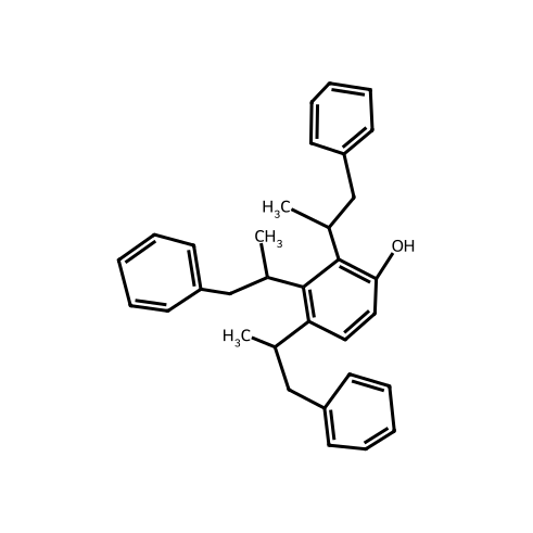 CC(Cc1ccccc1)c1ccc(O)c(C(C)Cc2ccccc2)c1C(C)Cc1ccccc1